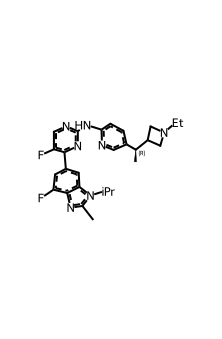 CCN1CC([C@@H](C)c2ccc(Nc3ncc(F)c(-c4cc(F)c5nc(C)n(C(C)C)c5c4)n3)nc2)C1